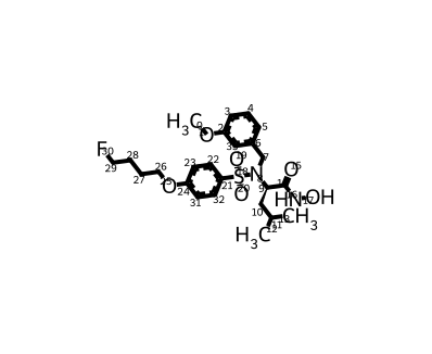 COc1cccc(CN([C@H](CC(C)C)C(=O)NO)S(=O)(=O)c2ccc(OCCCCF)cc2)c1